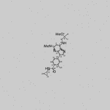 CNc1cc(NCC(C)(C)OC)n2ncc(-c3ccc(C(=O)NC4CC4)c(C)c3)c2n1